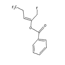 O=C(OC(=CCC(F)(F)F)CF)c1ccccc1